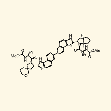 COC(=O)N[C@H](C(=O)N1C[C@]2(CCCOC2)C[C@H]1c1nc2ccc3cc(-c4ccc5c(ccc6[nH]c([C@@H]7C[C@@H]8CCC[C@@H]8N7C(=O)N(NC(=O)OC)C(C)C)nc65)c4)ccc3c2[nH]1)C(C)C